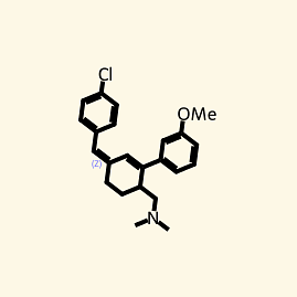 COc1cccc(C2=C/C(=C\c3ccc(Cl)cc3)CCC2CN(C)C)c1